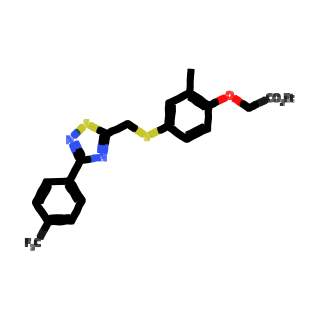 CCOC(=O)COc1ccc(SCc2nc(-c3ccc(C(F)(F)F)cc3)ns2)cc1C